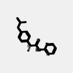 CC(C)Cc1ccc([C@@H](C)C(=O)Nc2ncccn2)cc1